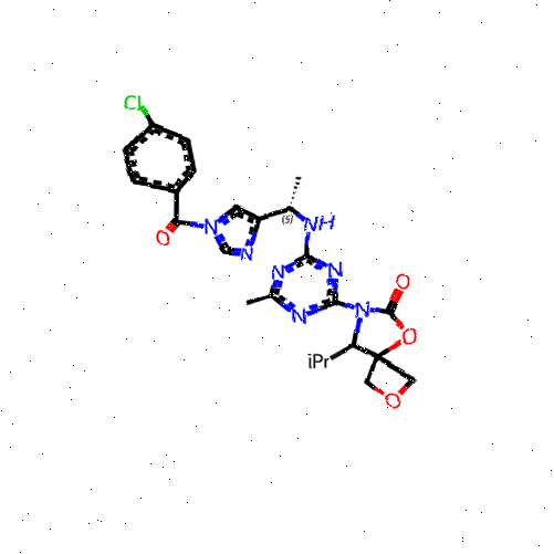 Cc1nc(N[C@@H](C)c2cn(C(=O)c3ccc(Cl)cc3)cn2)nc(N2C(=O)OC3(COC3)C2C(C)C)n1